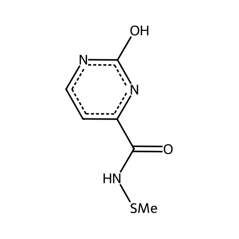 CSNC(=O)c1ccnc(O)n1